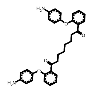 Nc1ccc(Oc2ccccc2C(=O)CCCCCCC(=O)c2ccccc2Oc2ccc(N)cc2)cc1